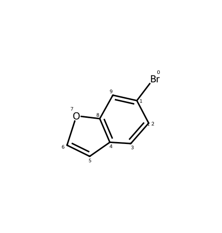 Brc1[c]cc2ccoc2c1